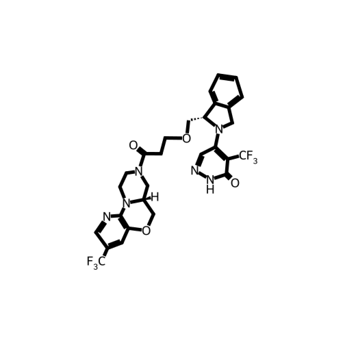 O=C(CCOC[C@@H]1c2ccccc2CN1c1cn[nH]c(=O)c1C(F)(F)F)N1CCN2c3ncc(C(F)(F)F)cc3OC[C@H]2C1